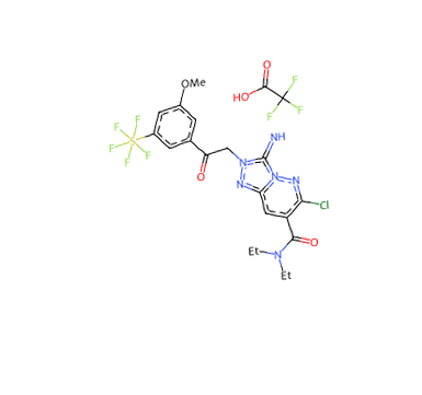 CCN(CC)C(=O)c1cc2nn(CC(=O)c3cc(OC)cc(S(F)(F)(F)(F)F)c3)c(=N)n2nc1Cl.O=C(O)C(F)(F)F